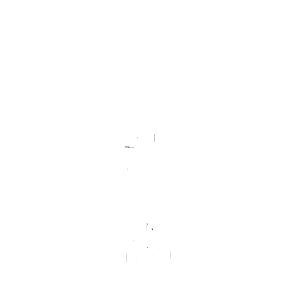 CCCCCCCCCCCCCCCCCCNCC(O)(O)O.O=C(O)CO